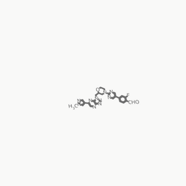 Cn1cc(-c2cnc3nnn(CC4CN(c5ncc(-c6ccc(C=O)c(F)c6)cn5)CCO4)c3n2)cn1